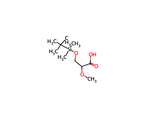 COC(CO[Si](C)(C)C(C)(C)C)C(=O)O